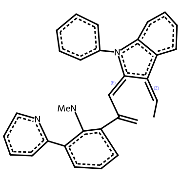 C=C(/C=c1\c(=C/C)c2ccccc2n1-c1ccccc1)c1cccc(-c2ccccn2)c1NC